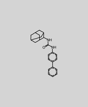 O=C(Nc1ccc(-c2ccccc2)cc1)NC1C2CC3CC(C2)CC1C3